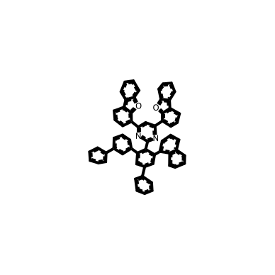 c1ccc(-c2cccc(-c3cc(-c4ccccc4)cc(-c4cccc5ccccc45)c3-c3nc(-c4cccc5c4oc4ccccc45)cc(-c4cccc5c4oc4ccccc45)n3)c2)cc1